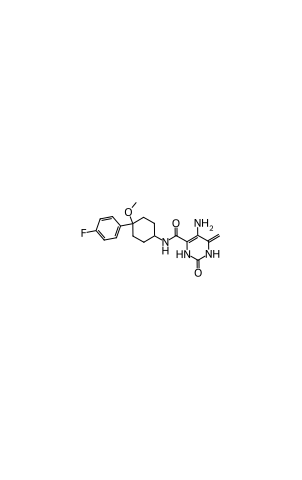 C=C1NC(=O)NC(C(=O)NC2CCC(OC)(c3ccc(F)cc3)CC2)=C1N